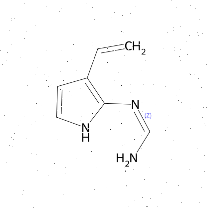 C=Cc1cc[nH]c1/N=C\N